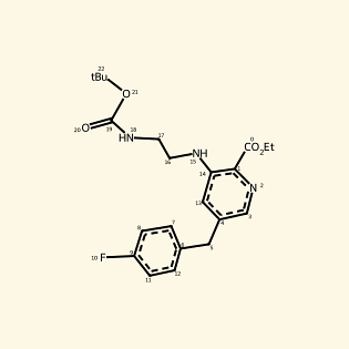 CCOC(=O)c1ncc(Cc2ccc(F)cc2)cc1NCCNC(=O)OC(C)(C)C